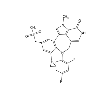 Cn1cc2c3c(c[nH]c(=O)c31)CN(c1ccc(F)cc1F)c1c-2cc(CS(C)(=O)=O)cc1C1CC1